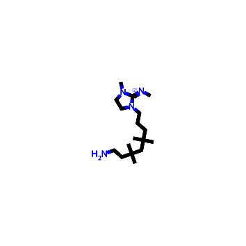 C/N=C1/N(C)CCN1CCCC(C)(C)CC(C)(C)CCN